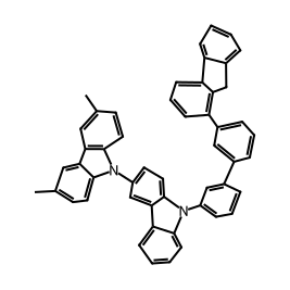 Cc1ccc2c(c1)c1cc(C)ccc1n2-c1ccc2c(c1)c1ccccc1n2-c1cccc(-c2cccc(-c3cccc4c3Cc3ccccc3-4)c2)c1